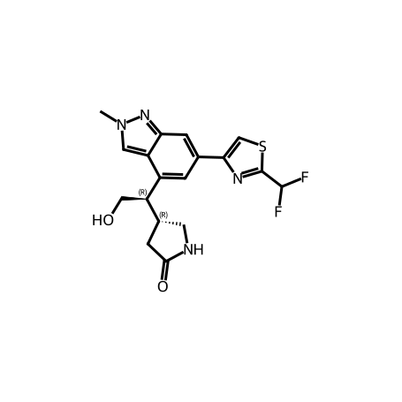 Cn1cc2c([C@H](CO)[C@@H]3CNC(=O)C3)cc(-c3csc(C(F)F)n3)cc2n1